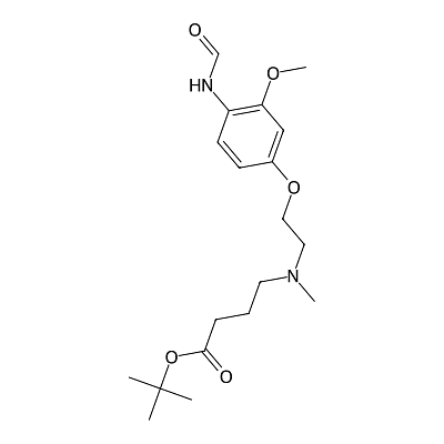 COc1cc(OCCN(C)CCCC(=O)OC(C)(C)C)ccc1NC=O